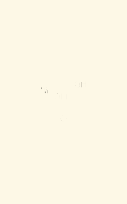 O.O=CO.[Ni]